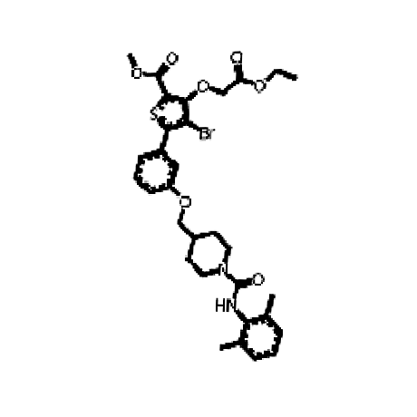 CCOC(=O)COc1c(C(=O)OC)sc(-c2cccc(OCC3CCN(C(=O)Nc4c(C)cccc4C)CC3)c2)c1Br